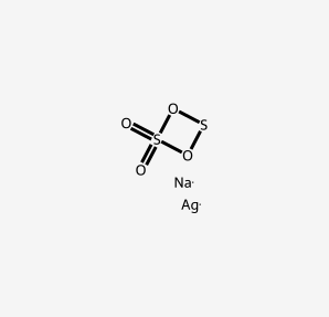 O=S1(=O)OSO1.[Ag].[Na]